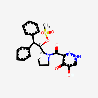 CS(=O)(=O)O[C@H](C(c1ccccc1)c1ccccc1)[C@H]1CCCN1C(=O)c1n[nH]cc(O)c1=O